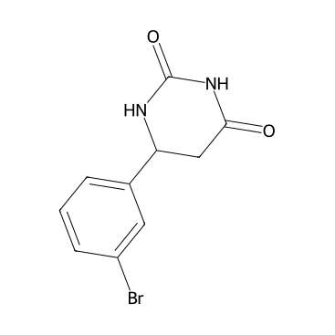 O=C1CC(c2cccc(Br)c2)NC(=O)N1